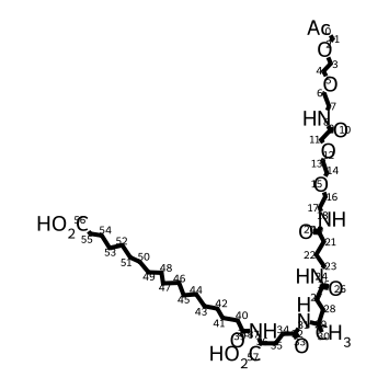 CC(=O)COCCOCCNC(=O)COCCOCCNC(=O)CCCNC(=O)CCC(C)NC(=O)CC[C@H](NC(=O)CCCCCCCCCCCCCCCCC(=O)O)C(=O)O